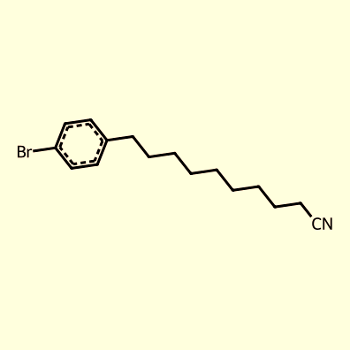 N#CCCCCCCCCCc1ccc(Br)cc1